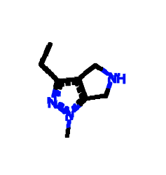 CCc1nn(C)c2c1CNC2